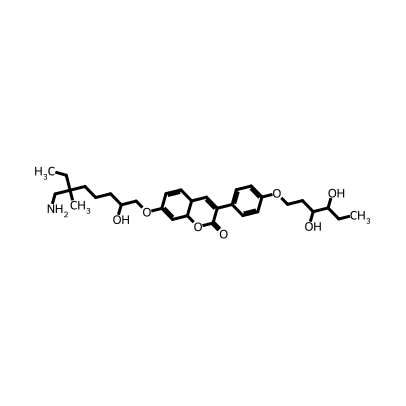 CCC(O)C(O)CCOc1ccc(C2=CC3C=CC(OCC(O)CCCC(C)(CC)CN)=CC3OC2=O)cc1